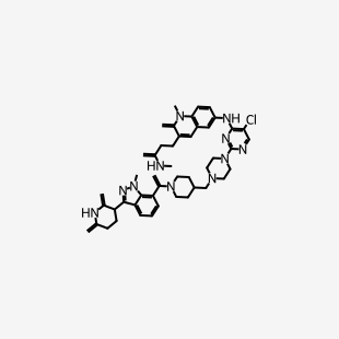 C=C(CCC1=Cc2cc(Nc3nc(N4CCN(CC5CCN(C(=C)c6cccc7c(C8CCC(=C)NC8=C)nn(C)c67)CC5)CC4)ncc3Cl)ccc2N(C)C1=C)NC